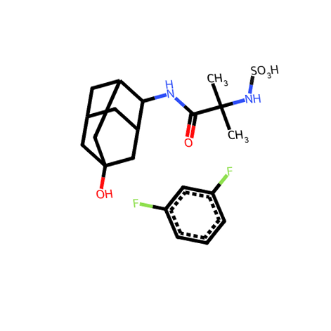 CC(C)(NS(=O)(=O)O)C(=O)NC1C2CC3CC1CC(O)(C3)C2.Fc1cccc(F)c1